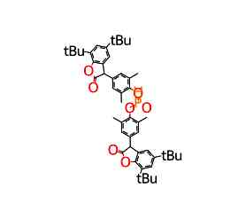 Cc1cc(C2C(=O)Oc3c2cc(C(C)(C)C)cc3C(C)(C)C)cc(C)c1O[PH](=O)Oc1c(C)cc(C2C(=O)Oc3c2cc(C(C)(C)C)cc3C(C)(C)C)cc1C